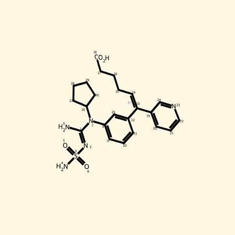 NC(=NS(N)(=O)=O)N(c1cccc(/C(=C\CCCC(=O)O)c2cccnc2)c1)C1CCCC1